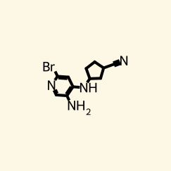 N#CC1CCC(Nc2cc(Br)ncc2N)C1